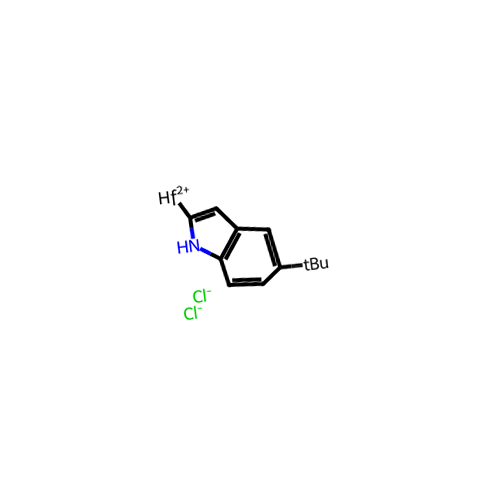 CC(C)(C)c1ccc2[nH][c]([Hf+2])cc2c1.[Cl-].[Cl-]